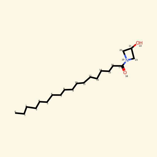 CCCCCCCCCCCCCCCCCC(=O)N1CC(O)C1